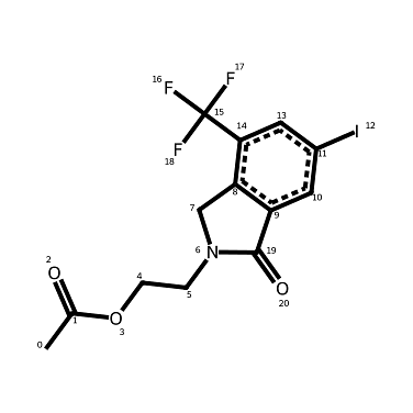 CC(=O)OCCN1Cc2c(cc(I)cc2C(F)(F)F)C1=O